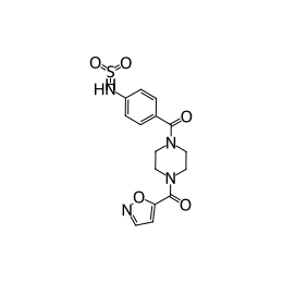 O=C(c1ccc(N[SH](=O)=O)cc1)N1CCN(C(=O)c2ccno2)CC1